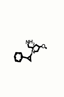 COC1CC(CN)N(C2CC2c2ccccc2)C1